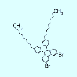 CCCCCCCCCCc1ccc(-c2c(-c3ccc(CCCCCCCCCC)cc3)c3ccc(Br)cc3c3cc(Br)ccc23)cc1